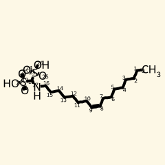 CCCCCCCC/C=C\CCCCCCCNC(S(=O)(=O)O)S(=O)(=O)O